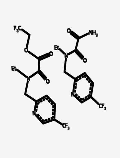 CCN(Cc1ccc(C(F)(F)F)cn1)C(=O)C(=O)OCC(F)(F)F.CCN(Cc1ccc(C(F)(F)F)cn1)C(=O)C(N)=O